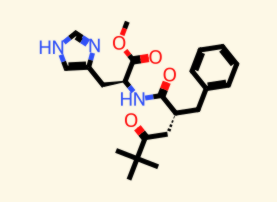 COC(=O)[C@H](Cc1c[nH]cn1)NC(=O)[C@@H](CC(=O)C(C)(C)C)Cc1ccccc1